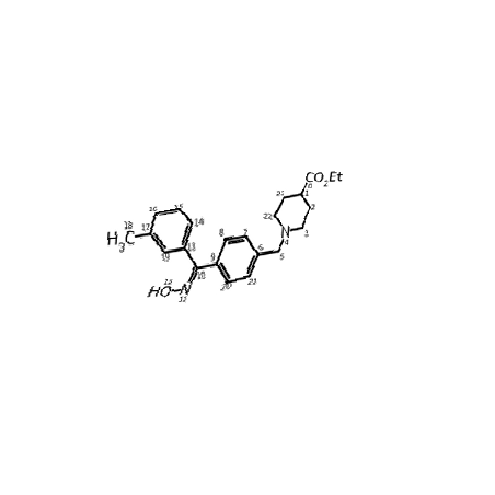 CCOC(=O)C1CCN(Cc2ccc(/C(=N/O)c3cccc(C)c3)cc2)CC1